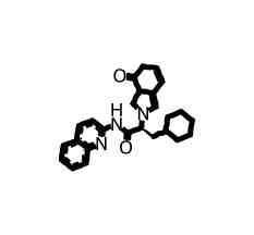 O=C1CC=CC2=CN([C@@H](CC3CCCCC3)C(=O)Nc3ccc4ccccc4n3)CC12